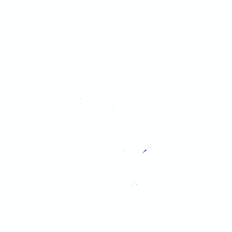 COCCCOc1cc(C(=O)N(C(C)C)[C@@H]2CCCN(C(=O)O)C2)ccc1OCC1CC1